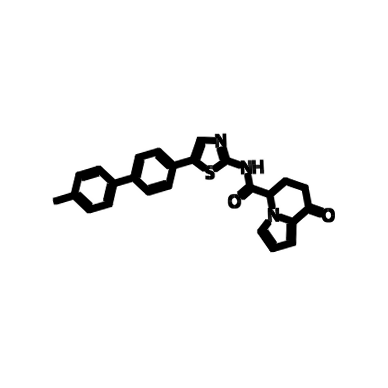 Cc1ccc(-c2ccc(-c3cnc(NC(=O)C4CCC(=O)c5cccn54)s3)cc2)cc1